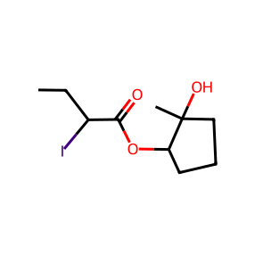 CCC(I)C(=O)OC1CCCC1(C)O